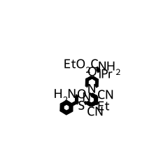 CCOC(=O)[C@@](N)(OC1CCN(c2nc(SC(C(N)=O)c3ccccc3)c(C#N)c(CC)c2C#N)CC1)C(C)C